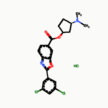 CN(C)[C@H]1CC[C@H](OC(=O)c2ccc3nc(-c4cc(Cl)cc(Cl)c4)oc3c2)C1.Cl